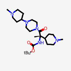 CN1CCC(N2CCN(C(=O)[C@@](C)(NC(=O)OC(C)(C)C)C3CCN(C)CC3)CC2)CC1